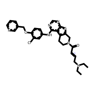 CCN(CC)C/C=C/C(=O)N1CCc2c(sc3ncnc(Nc4ccc(OCc5cccnc5)c(Cl)c4)c23)C1